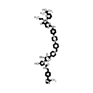 C=CCn1c(=O)c2cnc(Nc3ccc(N4CCN(C5CCC(CN6CCC(C(=O)N[C@H](C(=O)N7C[C@H](O)C[C@H]7C(=O)NCc7ccc(-c8scnc8C)cc7)C(C)(C)C)CC6)CC5)CC4)cc3)nc2n1-c1cccc(C(C)(C)O)n1